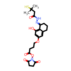 CC(C)(S)CC(=O)N/N=C1\CCCc2cc(OCCCC(=O)ON3C(=O)CCC3=O)cc(O)c21